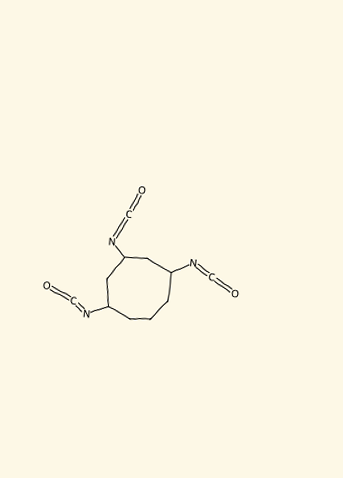 O=C=NC1CCCC(N=C=O)CC(N=C=O)C1